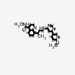 CNC(=O)c1ccnc2c(C(C)CCNc3cc(-c4ccc(OC)nc4)ncn3)cccc12